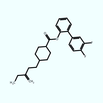 C=C(CC)CCC1CCC(C(=O)Oc2ccccc2-c2ccc(F)c(F)c2)CC1